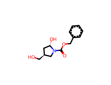 O=C(OCc1ccccc1)N1C[C@@H](CO)C[C@@H]1O